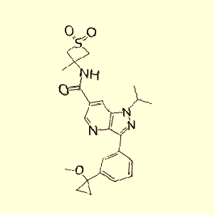 COC1(c2cccc(-c3nn(C(C)C)c4cc(C(=O)NC5(C)CS(=O)(=O)C5)cnc34)c2)CC1